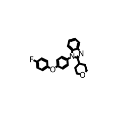 Fc1ccc(Oc2ccc(-n3c(C4CCOCC4)nc4ccccc43)cc2)cc1